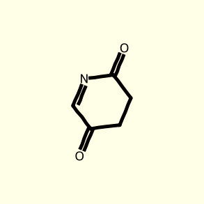 O=C1C=NC(=O)CC1